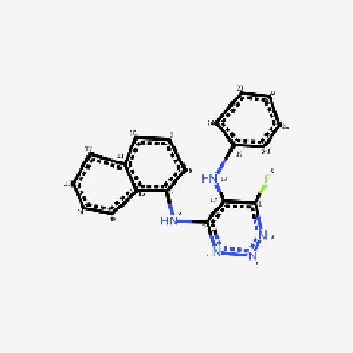 Fc1nnnc(Nc2cccc3ccccc23)c1Nc1ccccc1